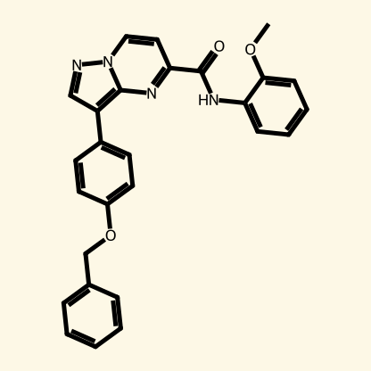 COc1ccccc1NC(=O)c1ccn2ncc(-c3ccc(OCc4ccccc4)cc3)c2n1